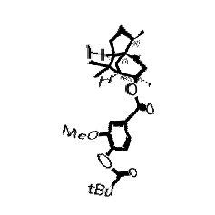 COc1cc(C(=O)O[C@]2(C)CC[C@@]34C[C@@H]2C(C)(C)[C@@H]3CC[C@H]4C)ccc1OC(=O)C(C)(C)C